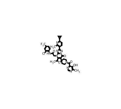 Cc1nc(C2CC2)ccc1-c1nc2n(CC(=O)Nc3ccc(C(F)(F)F)cc3Cl)c3c(c(=O)n2n1)C1(CCN(C(=O)c2ncnc(C)c2O)CC1)OC3C